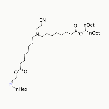 CCCCCC/C=C\COC(=O)CCCCCCCN(CCC#N)CCCCCCCC(=O)OC(CCCCCCCC)CCCCCCCC